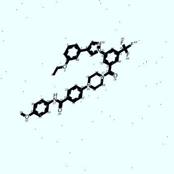 CCOc1cccc(-c2cnn(-c3cc(C(=O)N4CCN(c5ccc(C(=O)Nc6ccc(OC)cc6)cc5)CC4)cc(C(F)(F)F)c3)c2)c1